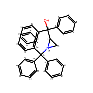 OC(c1ccccc1)(c1ccccc1)C1CN1C(c1ccccc1)(c1ccccc1)c1ccccc1